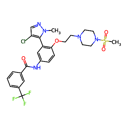 Cn1ncc(Cl)c1-c1cc(NC(=O)c2cccc(C(F)(F)F)c2)ccc1OCCN1CCN(S(C)(=O)=O)CC1